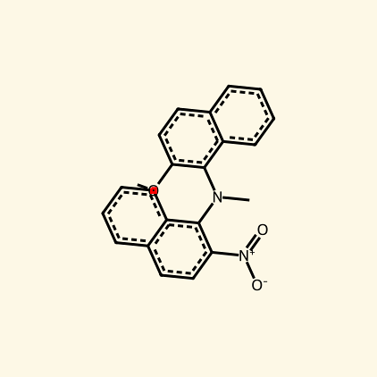 COc1ccc2ccccc2c1N(C)c1c([N+](=O)[O-])ccc2ccccc12